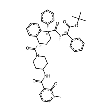 Cn1cccc(C(=O)NC2CCN(C(=O)[C@H]3CC[C@@](C(=O)N[C@@H](C(=O)OC(C)(C)C)c4ccccc4)(c4ccccc4)c4ccccc43)CC2)c1=O